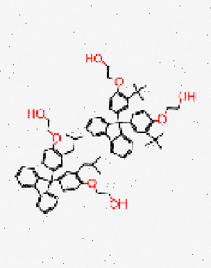 CC(C)(C)c1cc(C2(c3ccc(OCCO)c(C(C)(C)C)c3)c3ccccc3-c3ccccc32)ccc1OCCO.CC(C)Cc1cc(C2(c3ccc(OCCO)c(CC(C)C)c3)c3ccccc3-c3ccccc32)ccc1OCCO